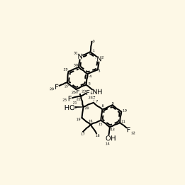 Cc1ncc2c(N[C@@H]3c4ccc(F)c(O)c4C(C)(C)C[C@]3(O)C(F)(F)F)cc(F)cc2n1